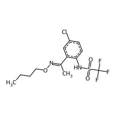 CCCCO/N=C(\C)c1cc(Cl)ccc1NS(=O)(=O)C(F)(F)F